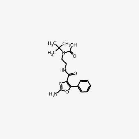 CC(C)(C)N(CCNC(=O)c1nc(N)oc1-c1ccccc1)C(=O)O